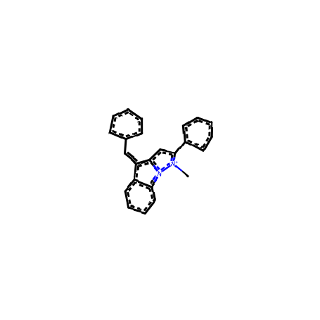 C[n+]1c(-c2ccccc2)cc2/c(=C\c3ccccc3)c3ccccc3n21